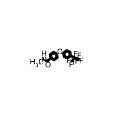 CNC(=O)c1ccc(Oc2ccc(C(F)(C(F)(F)F)C(F)(F)F)cc2)cc1